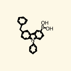 OB(O)c1ccc2c(c1)c1cc(Cc3ccccc3)ccc1n2-c1ccccc1